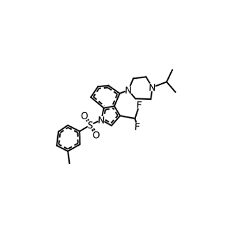 Cc1cccc(S(=O)(=O)n2cc(C(F)F)c3c(N4CCN(C(C)C)CC4)cccc32)c1